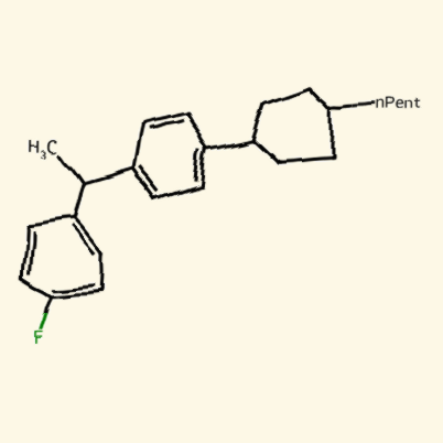 CCCCCC1CCC(c2ccc(C(C)c3ccc(F)cc3)cc2)CC1